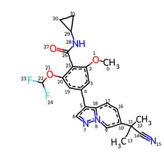 COc1cc(-c2cnn3cc(C(C)(C)C#N)ccc23)cc(OC(F)F)c1C(=O)NC1CC1